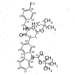 CC(C)(C)OC(=O)CC(C(=O)NCc1ccc(F)cc1)c1ccc2c3ccccc3n(C(=O)OC(C)(C)C)c2c1